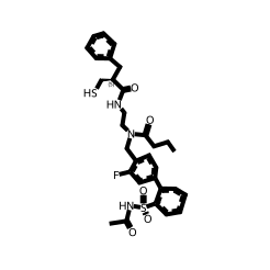 CCCC(=O)N(CCNC(=O)[C@@H](CS)Cc1ccccc1)Cc1ccc(-c2ccccc2S(=O)(=O)NC(C)=O)cc1F